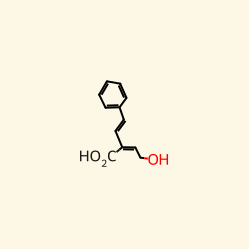 O=C(O)C(C=Cc1ccccc1)=CCO